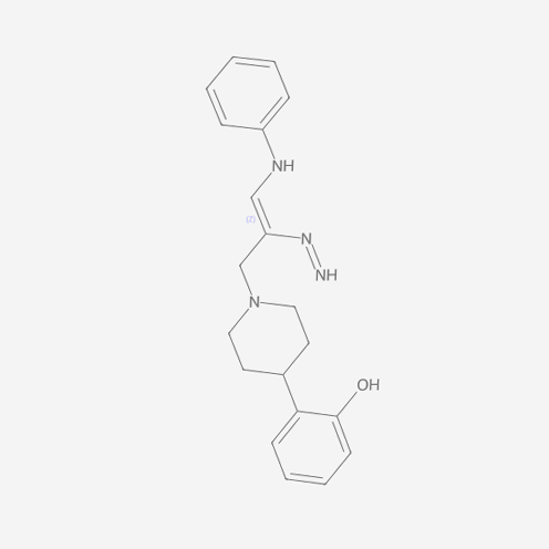 N=N/C(=C\Nc1ccccc1)CN1CCC(c2ccccc2O)CC1